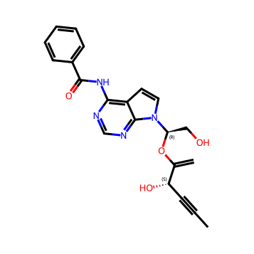 C=C(O[C@H](CO)n1ccc2c(NC(=O)c3ccccc3)ncnc21)[C@@H](O)C#CC